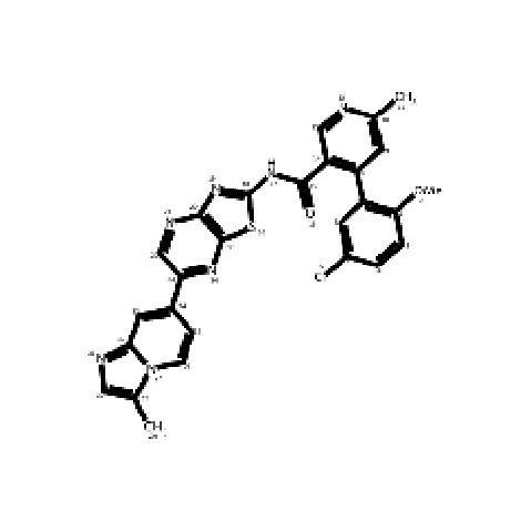 COc1ccc(Cl)cc1-c1cc(C)ncc1C(=O)Nc1nc2ncc(-c3ccn4c(C)cnc4c3)nc2s1